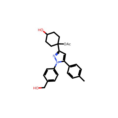 CC(=O)OC1(c2cc(-c3ccc(C)cc3)n(-c3ccc(CO)cc3)n2)CCC(O)CC1